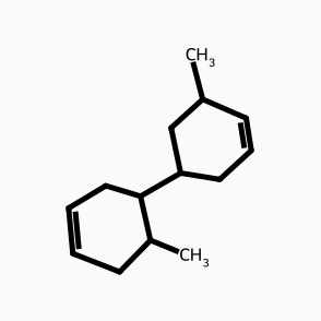 CC1C=CCC([C]2CC=CCC2C)C1